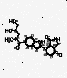 CN(CC(O)CO)C(=O)c1ccc2[nH]c(-c3ccc(Cl)c4c3C(=O)NC4)cc2c1